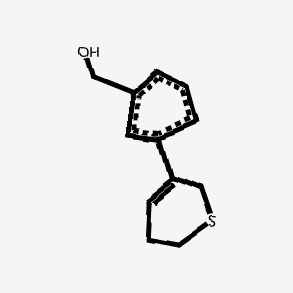 OCc1cccc(C2=CCCSC2)c1